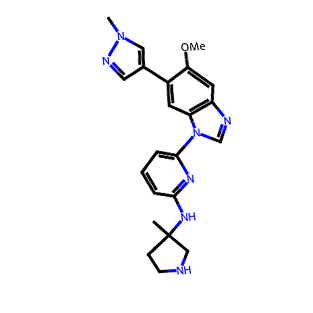 COc1cc2ncn(-c3cccc(NC4(C)CCNC4)n3)c2cc1-c1cnn(C)c1